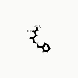 CC(COCc1ccccc1)CC(N)CN